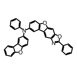 c1ccc(-c2nc3cc4c(cc3o2)oc2ccc(N(c3ccccc3)c3ccc5oc6ccccc6c5c3)cc24)cc1